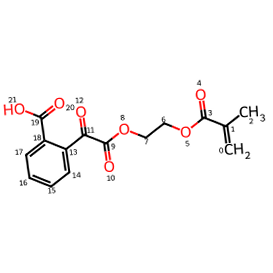 C=C(C)C(=O)OCCOC(=O)C(=O)c1ccccc1C(=O)O